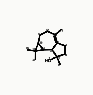 CC1=C2CCC(C)(O)C2C2C(CC1)C2(C)C